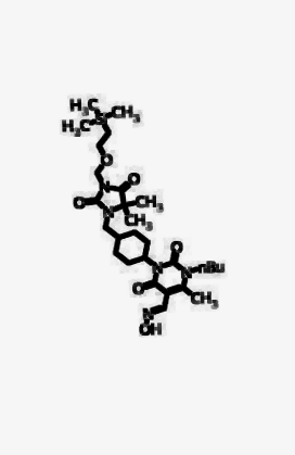 CCCCn1c(C)c(/C=N/O)c(=O)n(C2CCC(CN3C(=O)N(COCC[Si](C)(C)C)C(=O)C3(C)C)CC2)c1=O